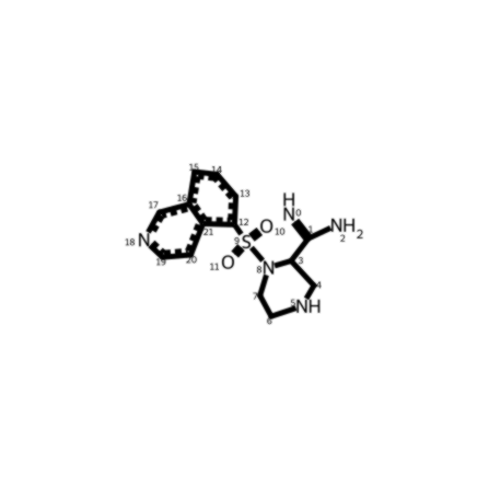 N=C(N)C1CNCCN1S(=O)(=O)c1cccc2cnccc12